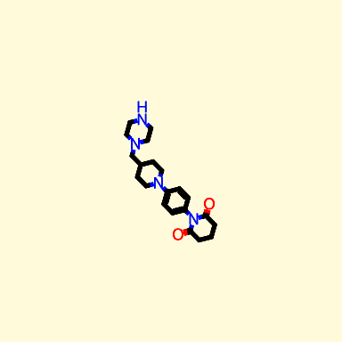 O=C1CCCC(=O)N1c1ccc(N2CCC(CN3CCNCC3)CC2)cc1